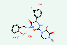 CCN1CCN(C(=O)N[C@@H](C(=O)N[C@H]2Cc3cccc(C(=O)O)c3OB2O)c2ccc(O)c(F)c2)C(=O)C1=O